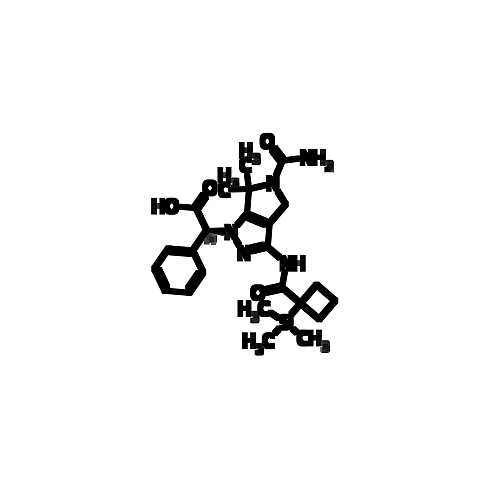 CC1(C)c2c(c(NC(=O)C3([Si](C)(C)C)CCC3)nn2[C@H](C(=O)O)c2ccccc2)CN1C(N)=O